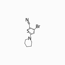 N#Cc1sc(N2CCCCC2)cc1Br